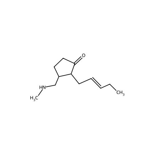 CC/C=C/CC1C(=O)CCC1CNC